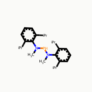 CC(C)c1cccc(C(C)C)c1N(C)PN(C)c1c(C(C)C)cccc1C(C)C